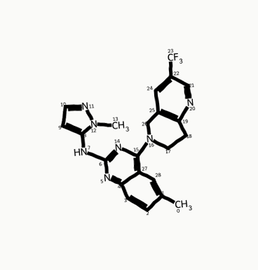 Cc1ccc2nc(Nc3ccnn3C)nc(N3CCc4ncc(C(F)(F)F)cc4C3)c2c1